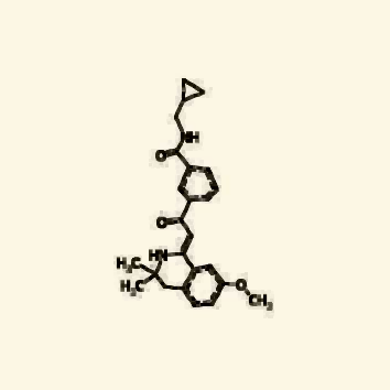 COc1ccc2c(c1)C(=CC(=O)c1cccc(C(=O)NCC3CC3)c1)NC(C)(C)C2